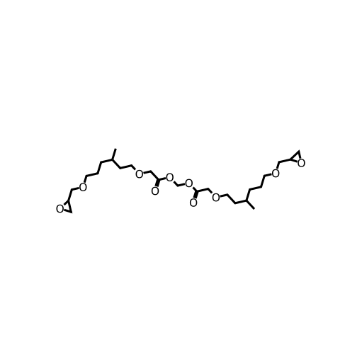 CC(CCCOCC1CO1)CCOCC(=O)OCOC(=O)COCCC(C)CCCOCC1CO1